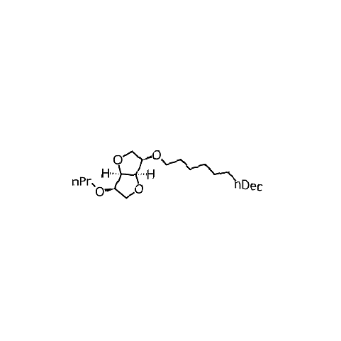 CCCCCCCCCCCCCCCCO[C@@H]1CO[C@H]2[C@@H]1OC[C@H]2OCCC